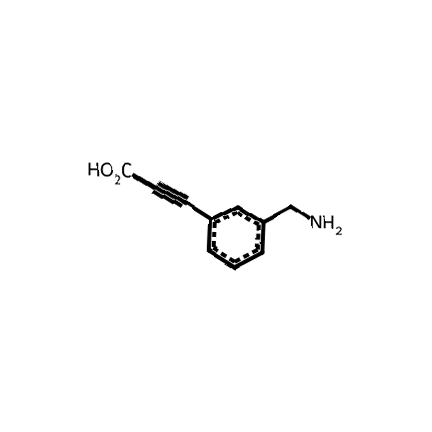 NCc1cccc(C#CC(=O)O)c1